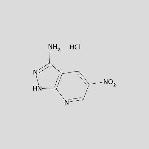 Cl.Nc1n[nH]c2ncc([N+](=O)[O-])cc12